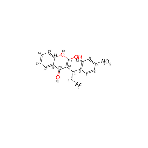 CC(=O)C[C@@H](c1ccc([N+](=O)[O-])cc1)c1c(O)oc2ccccc2c1=O